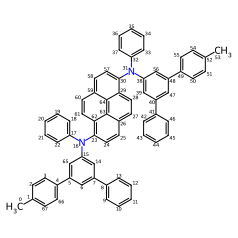 Cc1ccc(-c2cc(-c3ccccc3)cc(N(c3ccccc3)c3ccc4ccc5c(N(c6ccccc6)c6cc(-c7ccccc7)cc(-c7ccc(C)cc7)c6)ccc6ccc3c4c65)c2)cc1